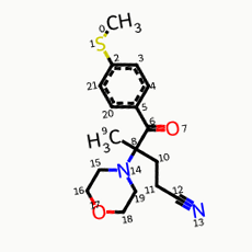 CSc1ccc(C(=O)C(C)(CCC#N)N2CCOCC2)cc1